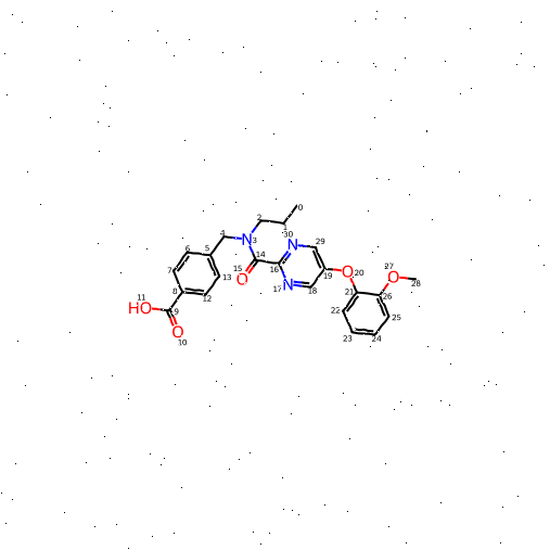 CCCN(Cc1ccc(C(=O)O)cc1)C(=O)c1ncc(Oc2ccccc2OC)cn1